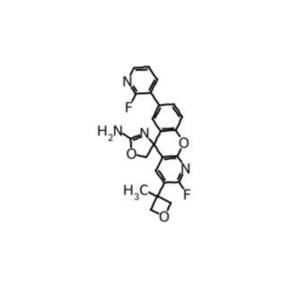 CC1(c2cc3c(nc2F)Oc2ccc(-c4cccnc4F)cc2C32COC(N)=N2)COC1